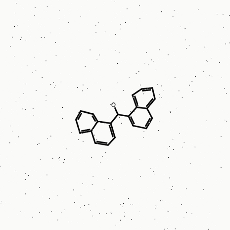 [O]C(c1cccc2ccccc12)c1cccc2ccccc12